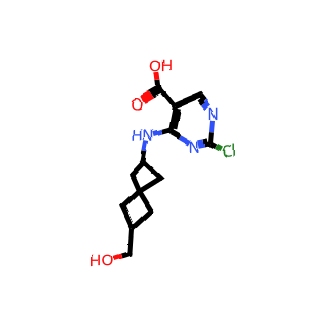 O=C(O)c1cnc(Cl)nc1NC1CC2(CC(CO)C2)C1